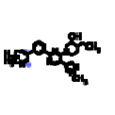 C/C=C(\C=N/C)c1cccc(-c2ncc(-c3cnn(C)c3)c(N3CCC(CC)C(O)C3)n2)c1